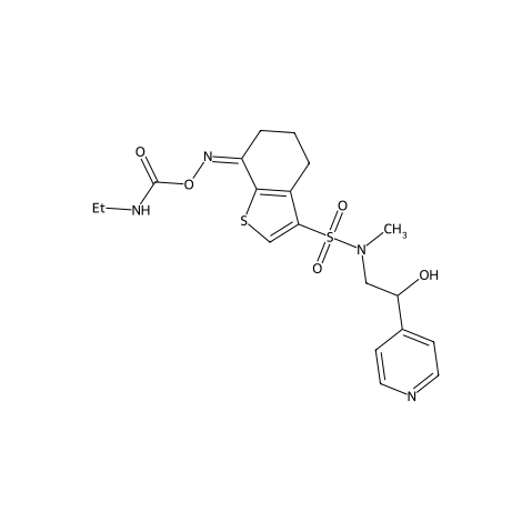 CCNC(=O)O/N=C1/CCCc2c(S(=O)(=O)N(C)CC(O)c3ccncc3)csc21